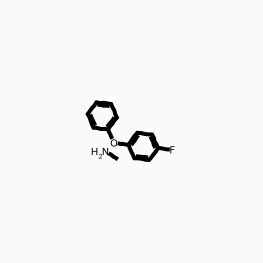 CN.Fc1ccc(Oc2ccccc2)cc1